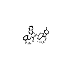 COc1ccccc1CCC(=O)N(Cc1cccc2ccccc12)[C@H]1CCc2c(c3cc(F)ccc3n2CC(=O)O)C1